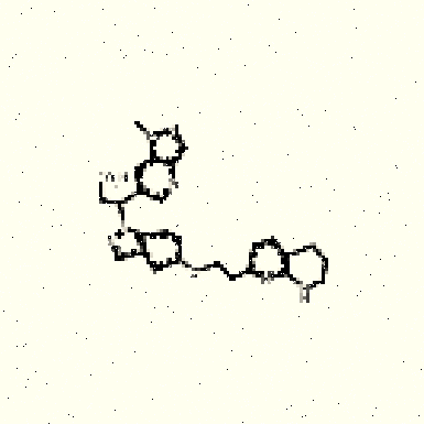 Cn1ncc2ncc(C(CC(=O)O)n3ncc4cc(OCCc5ccc6c(n5)NCCC6)ccc43)cc21